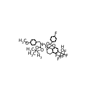 COc1ccc(CN(CN2C3CCc4cc(C(O)(C(F)(F)F)C(F)(F)F)ccc4C32S(=O)(=O)c2ccc(F)cc2)C(=O)OC(C)(C)C)cc1